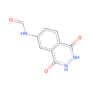 O=CNc1ccc2c(=O)[nH][nH]c(=O)c2c1